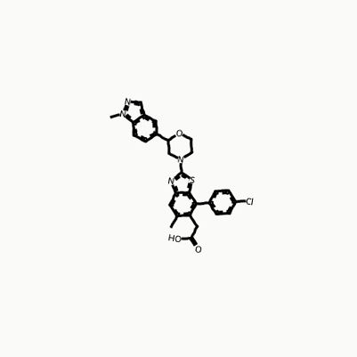 Cc1cc2nc(N3CCOC(c4ccc5c(cnn5C)c4)C3)sc2c(-c2ccc(Cl)cc2)c1CC(=O)O